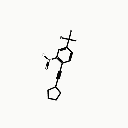 O=[N+]([O-])c1cc(C(F)(F)F)ccc1C#CC1CCCC1